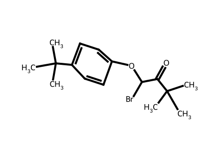 CC(C)(C)C(=O)C(Br)Oc1ccc(C(C)(C)C)cc1